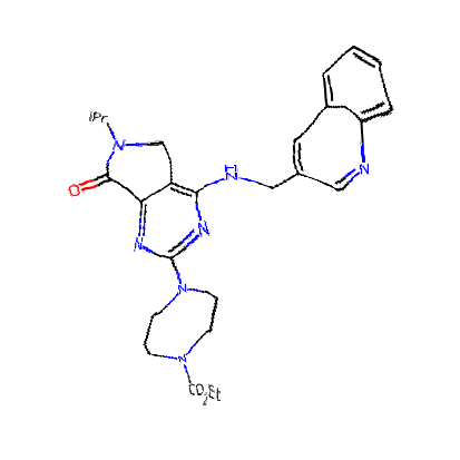 CCOC(=O)N1CCN(c2nc(NCc3cnc4ccccc4c3)c3c(n2)C(=O)N(C(C)C)C3)CC1